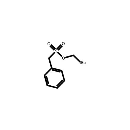 CCC(C)COS(=O)(=O)Cc1ccccc1